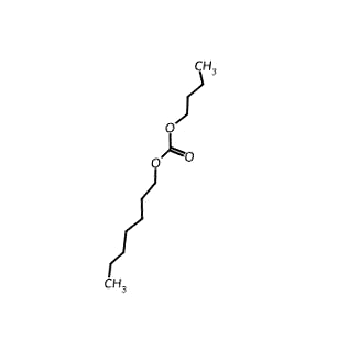 CCCCCCCOC(=O)OCCCC